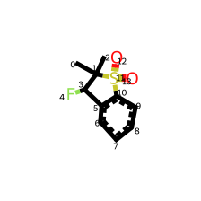 CC1(C)C(F)c2ccccc2S1(=O)=O